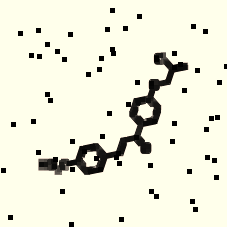 C=C(Cl)COc1ccc(C(=O)/C=C/c2ccc(C(=O)O)cc2)cc1